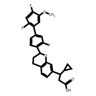 COc1cc(-c2ccc(C3CCc4ccc(C(CC(=O)O)C5CC5)cc4O3)c(F)c2)c(F)cc1F